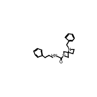 O=C(NCCCc1ccccc1)N1CC2(CCN2Cc2ccccc2)C1